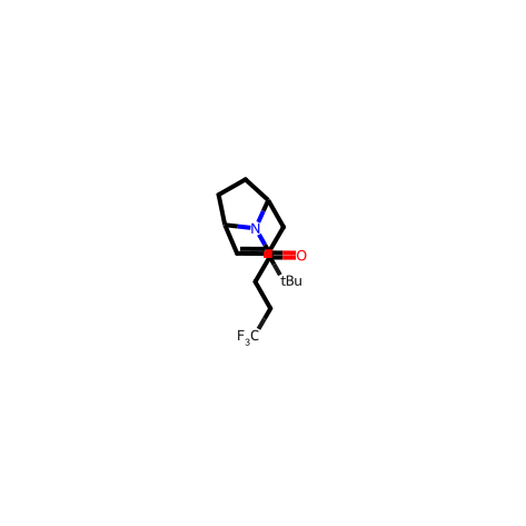 CC(C)(C)C1=CC2CCC(C1)N2C(=O)CCC(F)(F)F